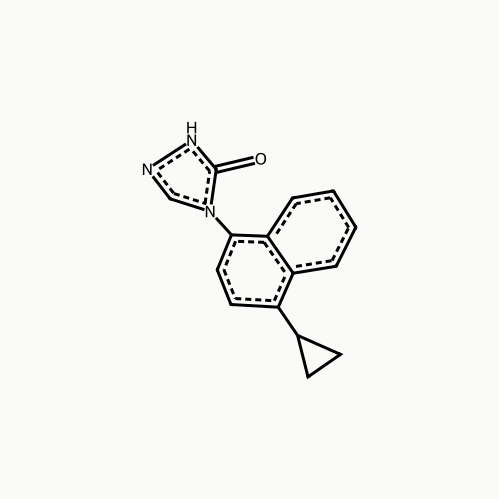 O=c1[nH]ncn1-c1ccc(C2CC2)c2ccccc12